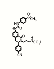 C[S+]([O-])c1ccc(NC(=O)Nc2ccc3c(c2)C(=O)N(CCCNC(=O)O)C(c2ccc(C#N)cc2)C3)cc1